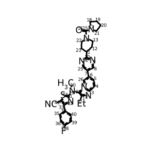 CCc1nc2ccc(-c3cnc(C4CCN(C(=O)N5CCCC5)CC4)nc3)cn2c1N(C)c1nc(-c2ccc(F)cc2)c(C#N)s1